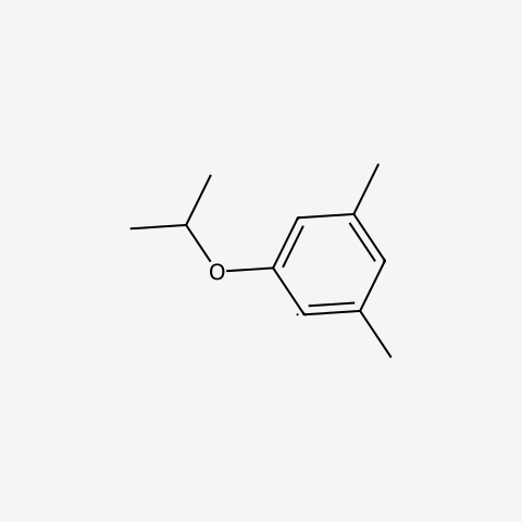 Cc1[c]c(OC(C)C)cc(C)c1